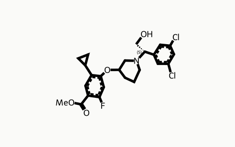 COC(=O)c1cc(C2CC2)c(OC2CCCN([C@H](CO)c3cc(Cl)cc(Cl)c3)C2)cc1F